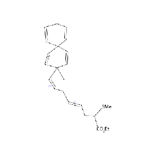 CCOC(=O)C(C/C=C/C/C=C\C1(C)C=CC2(C=CCC=C2)C=C1)SC